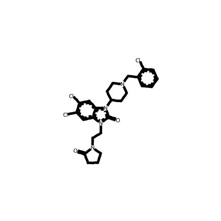 O=C1CCCN1CCn1c(=O)n(C2CCN(Cc3ccccc3Cl)CC2)c2cc(Cl)c(Cl)cc21